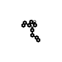 c1cc(-c2ccc(N(c3ccc(-c4cccc5ccccc45)cc3)c3cccc4oc5ccccc5c34)cc2)cc(-c2ccc3ccccc3c2)c1